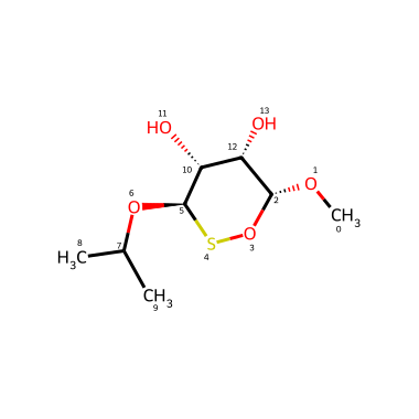 CO[C@@H]1OS[C@@H](OC(C)C)[C@H](O)[C@@H]1O